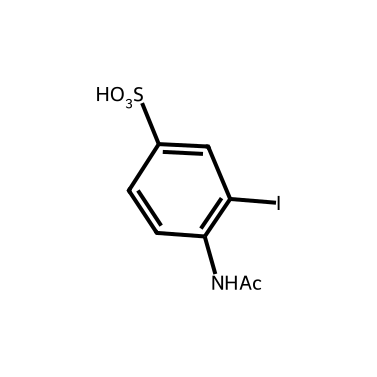 CC(=O)Nc1ccc(S(=O)(=O)O)cc1I